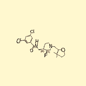 CC1(C)CCOC1CN1CC[C@H](CNC(=O)c2cc(Cl)cc(Cl)c2)[C@H](F)C1